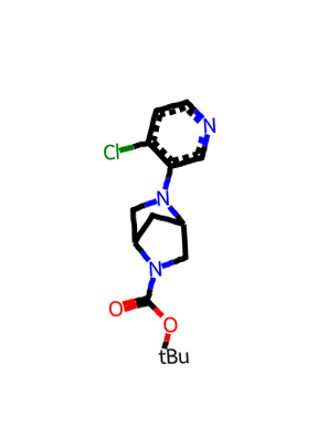 CC(C)(C)OC(=O)N1CC2CC1CN2c1cnccc1Cl